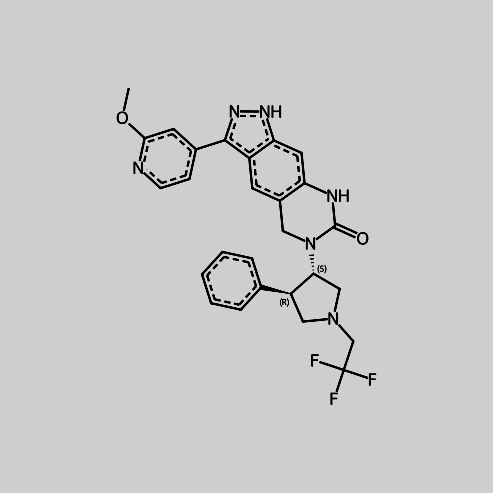 COc1cc(-c2n[nH]c3cc4c(cc23)CN([C@@H]2CN(CC(F)(F)F)C[C@H]2c2ccccc2)C(=O)N4)ccn1